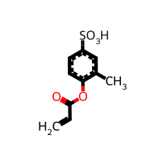 C=CC(=O)Oc1ccc(S(=O)(=O)O)cc1C